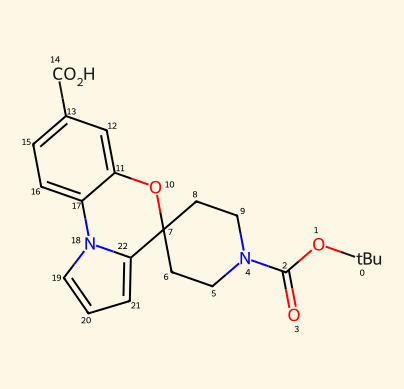 CC(C)(C)OC(=O)N1CCC2(CC1)Oc1cc(C(=O)O)ccc1-n1cccc12